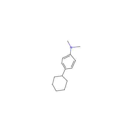 CN(C)c1ccc(C2C[CH]CCC2)cc1